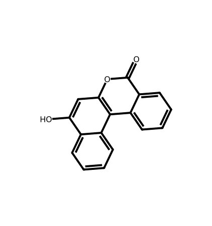 O=c1oc2cc(O)c3ccccc3c2c2ccccc12